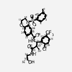 Cc1cccc(S(=O)(=O)N2CCOc3ccc(C(=O)N[C@H](c4cc(C(F)(F)F)ccc4Cl)[C@@H](C)C(=O)NC[C@@H](C)O)cc32)c1